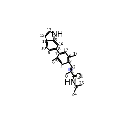 C/C(=C\c1cc(C)c(-c2ccc3cc[nH]c3c2)cc1C)C(=O)NC(C)C